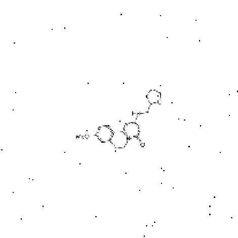 COc1ccc2c(c1)CCn1c-2cc(NCC2CCCO2)cc1=O